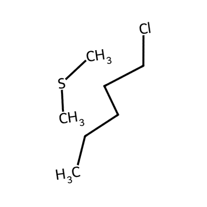 CCCCCCl.CSC